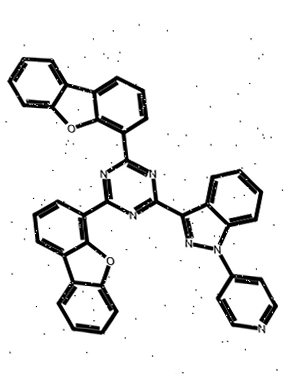 c1ccc2c(c1)oc1c(-c3nc(-c4nn(-c5ccncc5)c5ccccc45)nc(-c4cccc5c4oc4ccccc45)n3)cccc12